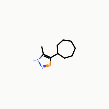 Cc1[nH]npc1C1CCCCCC1